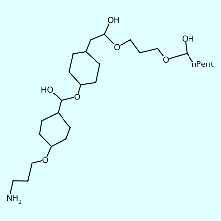 CCCCCC(O)OCCCOC(O)CC1CCC(OC(O)C2CCC(OCCCN)CC2)CC1